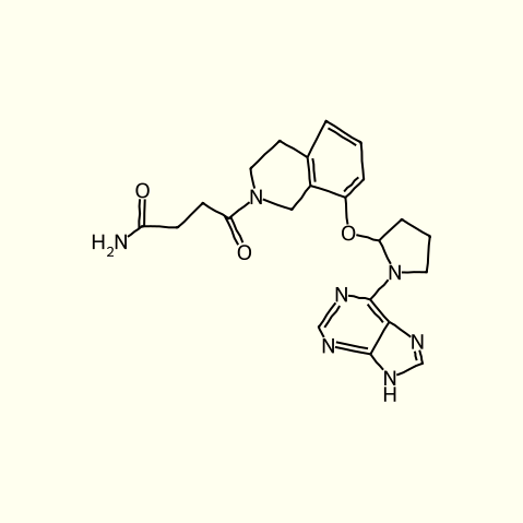 NC(=O)CCC(=O)N1CCc2cccc(OC3CCCN3c3ncnc4[nH]cnc34)c2C1